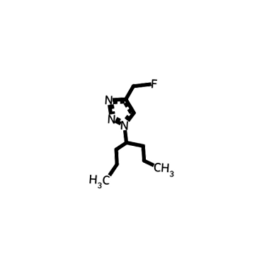 CCCC(CCC)n1cc(CF)nn1